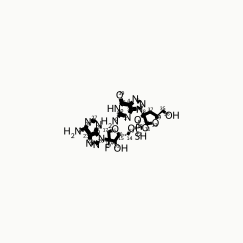 Nc1nc2c(nnn2C2(OP(=O)(S)OC[C@H]3OC[C@@](F)(n4nnc5c(N)ncnc54)[C@@H]3O)CO[C@H](CO)C2)c(=O)[nH]1